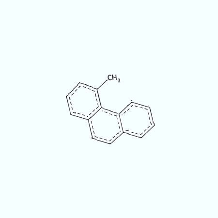 Cc1cccc2ccc3ccc[c]c3c12